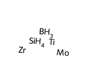 B.[Mo].[SiH4].[Ti].[Zr]